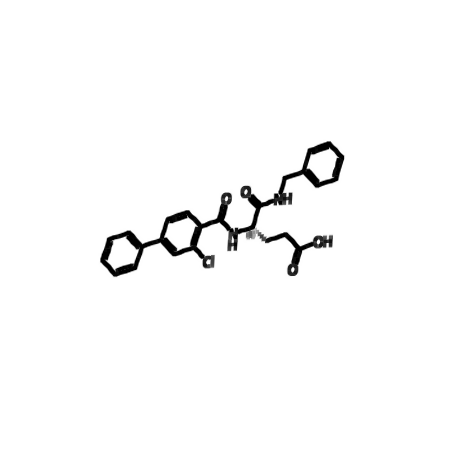 O=C(O)CC[C@H](NC(=O)c1ccc(-c2ccccc2)cc1Cl)C(=O)NCc1ccccc1